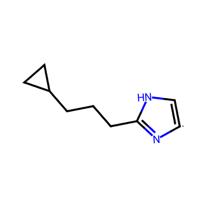 [c]1c[nH]c(CCCC2CC2)n1